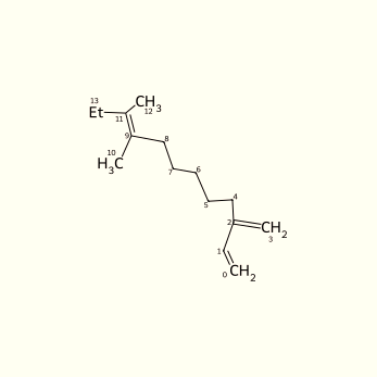 C=CC(=C)CCCCC/C(C)=C(\C)CC